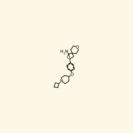 NC(=O)C1(CCc2ccc(OC3CCN(C4CCC4)CC3)cc2)CCOCC1